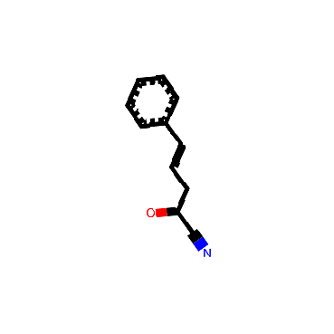 N#CC(=O)CC=Cc1ccccc1